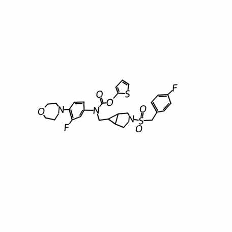 O=C(Oc1cccs1)N(CC1C2CN(S(=O)(=O)Cc3ccc(F)cc3)CC12)c1ccc(N2CCOCC2)c(F)c1